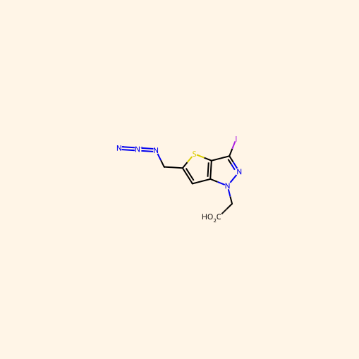 [N-]=[N+]=NCc1cc2c(s1)c(I)nn2CC(=O)O